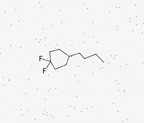 CCCC[C]1CCC(F)(F)CC1